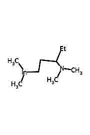 CCC(C[CH2][In]([CH3])[CH3])N(C)C